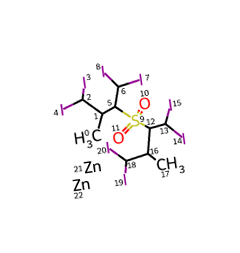 CC(C(I)I)C(C(I)I)S(=O)(=O)C(C(I)I)C(C)C(I)I.[Zn].[Zn]